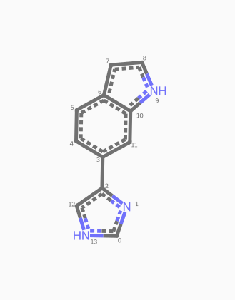 c1nc(-c2ccc3cc[nH]c3c2)c[nH]1